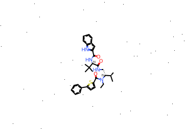 CCN(C(=O)c1ccc(-c2ccccc2)s1)[C@H](CNC(=O)[C@@H](NC(=O)c1cc2ccccc2[nH]1)C(C)(C)C)C(C)C